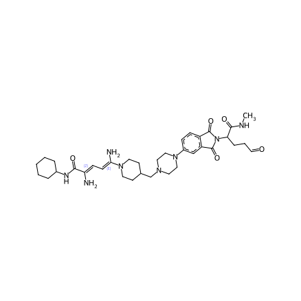 CNC(=O)C(CCC=O)N1C(=O)c2ccc(N3CCN(CC4CCN(/C(N)=C/C=C(\N)C(=O)NC5CCCCC5)CC4)CC3)cc2C1=O